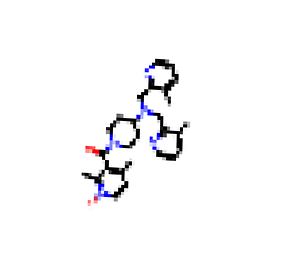 Cc1cccnc1CN(Cc1ncccc1C)C1CCN(C(=O)c2c(C)cc[n+]([O-])c2C)CC1